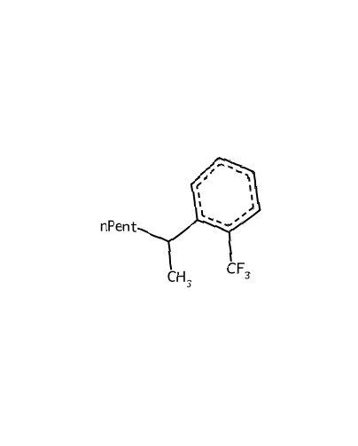 CCCCCC(C)c1ccccc1C(F)(F)F